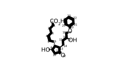 O=C(O)CCC/C=C\C[C@H]1[C@@H](O)CC(=O)[C@@H]1CC[C@H](O)COc1ccccc1